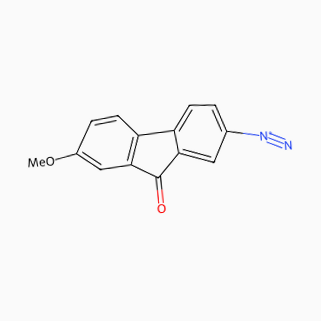 COc1ccc2c(c1)C(=O)c1cc([N+]#N)ccc1-2